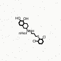 CCCCCCN(NCCCSc1c(Cl)cccc1Cl)C1CCc2c(ccc(O)c2O)C1